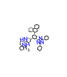 CC1C=CCC(C2=CC=C(c3cc(-c4nc(-c5ccccc5)nc(-c5ccccc5)n4)cc(-c4cc5ccccc5c5c4C=CCC5)c3)CN2)N1